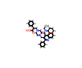 CCN(C(=O)c1c(CN2CCN(CC(C(=O)O)c3ccccc3)CC2)c(-c2ccccc2)nc2ccccc12)C1CCCCC1